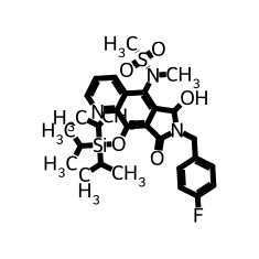 CC(C)[Si](Oc1c2c(c(N(C)S(C)(=O)=O)c3cccnc13)C(O)N(Cc1ccc(F)cc1)C2=O)(C(C)C)C(C)C